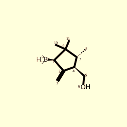 B[C@@H]1C(=C)[C@H](CO)[C@@H](C)C1(C)C